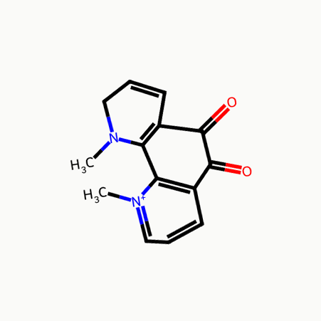 CN1CC=CC2=C1c1c(ccc[n+]1C)C(=O)C2=O